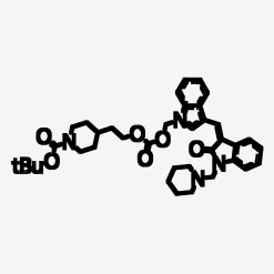 CC(C)(C)OC(=O)N1CCC(CCOC(=O)OCn2cc(C=C3C(=O)N(CN4CCCCC4)c4ccccc43)c3ccccc32)CC1